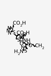 C=CCON=C(C(=O)NC1C(=O)N2C(C(=O)O)=C(CSc3nnnn3CCC(=O)O)CS[C@@H]12)c1csc(N)n1